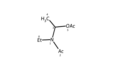 CCN(C(C)=O)C(C)OC(C)=O